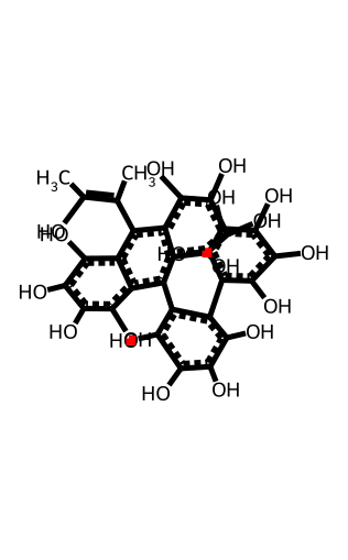 C/C(O)=C(\C)c1c2c(O)c(O)c(O)c(O)c2c(-c2c(O)c(O)c(O)c(O)c2-c2c(O)c(O)c(O)c(O)c2O)c2c(O)c(O)c(O)c(O)c12